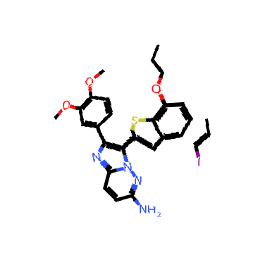 CC=CI.CCCOc1cccc2cc(-c3c(-c4ccc(OC)c(OC)c4)nc4ccc(N)nn34)sc12